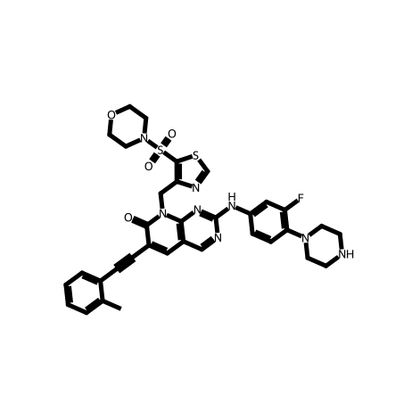 Cc1ccccc1C#Cc1cc2cnc(Nc3ccc(N4CCNCC4)c(F)c3)nc2n(Cc2ncsc2S(=O)(=O)N2CCOCC2)c1=O